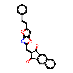 O=C1C(=Cc2nc3oc(/C=C/c4ccccc4)cc3o2)C(=O)c2cc3ccccc3cc21